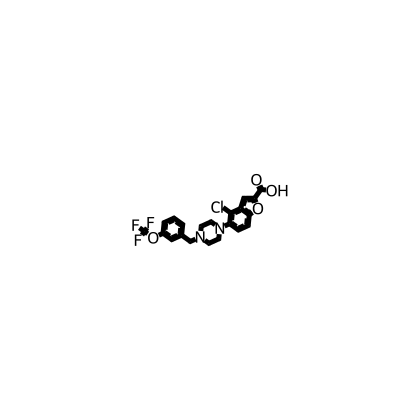 O=C(O)c1cc2c(Cl)c(N3CCN(Cc4cccc(OC(F)(F)F)c4)CC3)ccc2o1